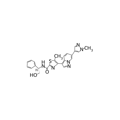 Cc1sc(C(=O)N[C@H](CO)c2ccccc2)nc1-c1cnn2cc(-c3cnn(C)c3)ccc12